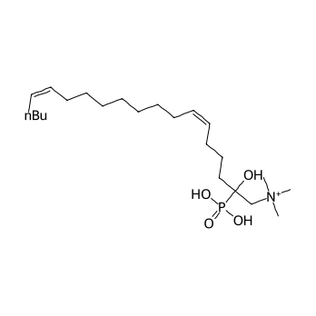 CCCC/C=C\CCCCCCC/C=C\CCCC(O)(C[N+](C)(C)C)P(=O)(O)O